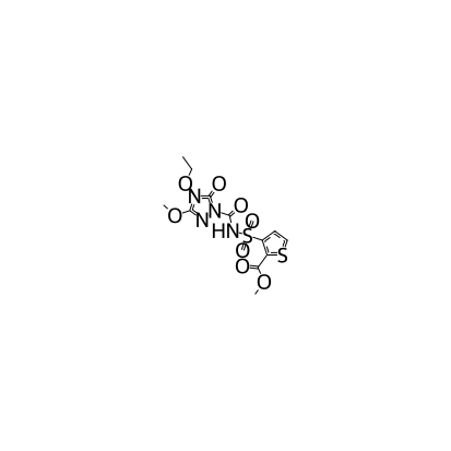 CCOn1c(OC)nn(C(=O)NS(=O)(=O)c2ccsc2C(=O)OC)c1=O